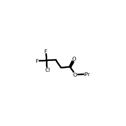 CC(C)OC(=O)CCC(F)(F)Cl